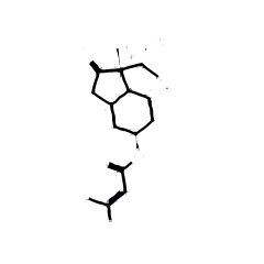 CC/C(C)=C/C(=O)O[C@H]1CC2CC(=O)[C@](C)([C@@H](C)OC(C)=O)C2[C@H](C(C)C)C1